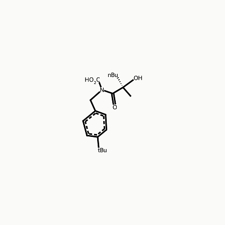 CCCC[C@@](C)(O)C(=O)N(Cc1ccc(C(C)(C)C)cc1)C(=O)O